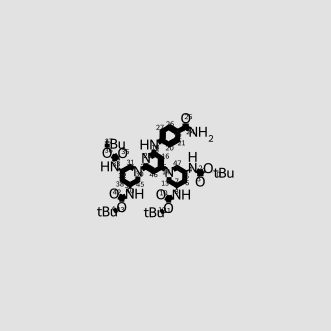 CC(C)(C)OC(=O)N[C@@H]1C[C@H](NC(=O)OC(C)(C)C)CN(c2cc(Nc3ccc(C(N)=O)cc3)nc(N3C[C@H](NC(=O)OC(C)(C)C)C[C@H](NC(=O)OC(C)(C)C)C3)c2)C1